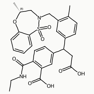 CCNC(=O)c1ccc(C(CC(=O)O)c2ccc(C)c(CN3C[C@@H](C)Oc4ccccc4S3(=O)=O)c2)cc1C(=O)O